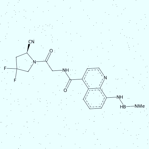 CNBNc1cccc2c(C(=O)NCC(=O)N3CC(F)(F)C[C@H]3C#N)ccnc12